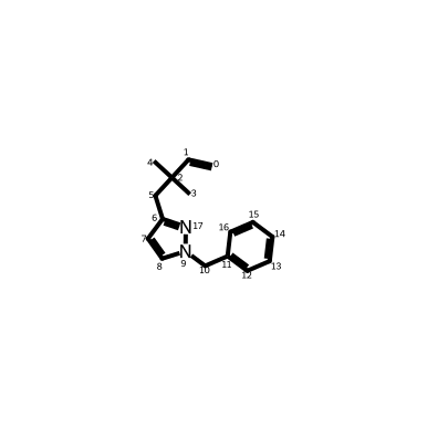 C=CC(C)(C)Cc1ccn(Cc2ccccc2)n1